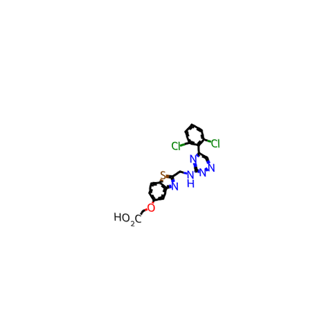 O=C(O)COc1ccc2sc(CNc3nncc(-c4c(Cl)cccc4Cl)n3)nc2c1